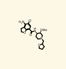 CO[C@H]1CN(CC2CCCO2)CC[C@H]1NC(=O)c1cc(Cl)c(N)c2c1OCC2